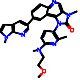 COCCN(C)c1ccc(-n2c(=O)n(C)c3cnc4ccc(-c5cnc6c(ccn6C)c5)cc4c32)c(C)n1